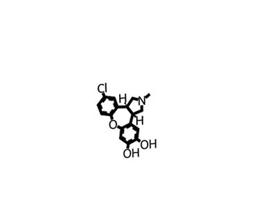 CN1C[C@@H]2c3cc(Cl)ccc3Oc3cc(O)c(O)cc3[C@H]2C1